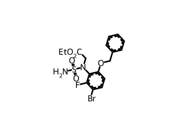 CCOC(=O)CN(c1c(OCc2ccccc2)ccc(Br)c1F)S(N)(=O)=O